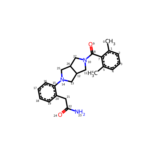 Cc1cccc(C)c1C(=O)N1CC2CN(c3ccccc3CC(N)=O)CC2C1